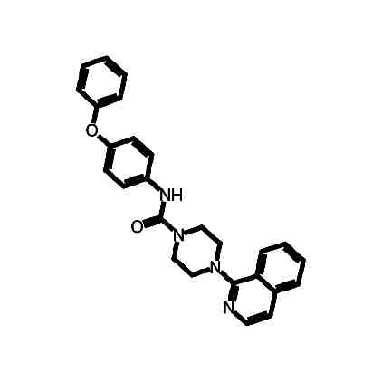 O=C(Nc1ccc(Oc2ccccc2)cc1)N1CCN(c2nccc3ccccc23)CC1